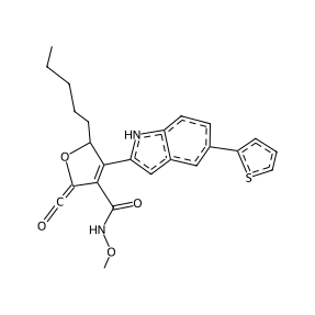 CCCCCC1OC(=C=O)C(C(=O)NOC)=C1c1cc2cc(-c3cccs3)ccc2[nH]1